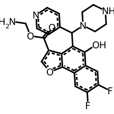 NCOC(=O)c1coc2c1c(C(c1ccncc1)N1CCNCC1)c(O)c1cc(F)c(F)cc12